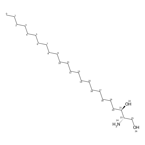 CCCCCCCCCCCCCCCCCCCCC[C@@H](O)[C@@H](N)CO